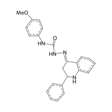 COc1ccc(NC(=O)NN=C2CC(c3ccccc3)Nc3ccccc32)cc1